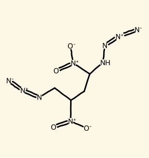 [N-]=[N+]=NCC(CC(NN=[N+]=[N-])[N+](=O)[O-])[N+](=O)[O-]